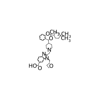 CC1(C)CCC(C2(C)Oc3ccccc3C(C3CCN(Cc4nc5ccc(C(=O)O)cc5n4C[C@@H]4CCO4)CC3)O2)CC1